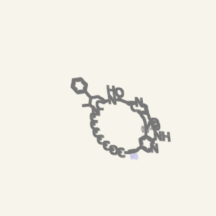 CC1C(c2ccccc2)CC2CN1CCCCCOC/C=C\c1cnc3c(c1)[C@]1(Cc4cc(ncc4C1=O)C(=O)N2)C(=O)N3